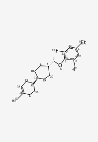 CCc1cc(F)c(OC[C@H]2CC[C@H](C3CC=C(F)CC3)CC2)c(F)c1